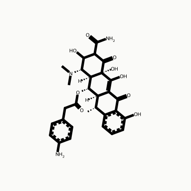 C[C@H]1c2cccc(O)c2C(=O)C2=C(O)[C@]3(O)C(=O)C(C(N)=O)C(O)[C@@H](N(C)C)[C@@H]3[C@@H](OC(=O)Cc3ccc(N)cc3)[C@@H]21